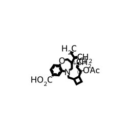 C=CC(=C)[C@]1(CCl)COc2ccc(C(=O)O)cc2N(CC2CCC2[C@H](C=C)OC(C)=O)C1